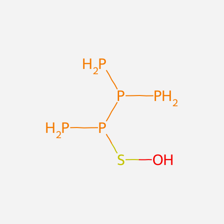 OSP(P)P(P)P